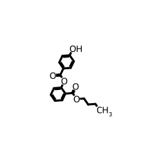 CCCCOC(=O)c1ccccc1OC(=O)c1ccc(O)cc1